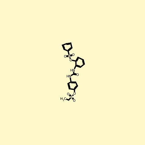 CCS(=O)(=O)Oc1ccc(NC(=O)Nc2ccccc2OS(=O)(=O)c2ccccc2)cc1